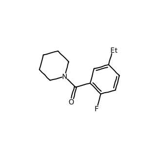 CCc1ccc(F)c(C(=O)N2CCCCC2)c1